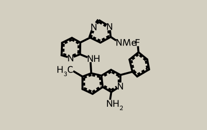 CNc1cc(-c2cccnc2Nc2c(C)ccc3c(N)nc(-c4cccc(F)c4)cc23)ncn1